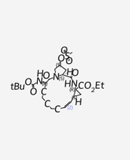 CCOC(=O)[C@@]12C[C@H]1/C=C\CCCCC[C@@H](NC(=O)OC(C)(C)C)C(=O)N1C[C@@H](OS(C)(=O)=O)C[C@H]1C(=O)N2